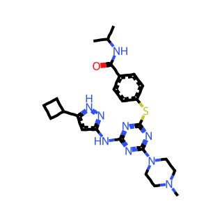 CC(C)NC(=O)c1ccc(Sc2nc(Nc3cc(C4CCC4)[nH]n3)nc(N3CCN(C)CC3)n2)cc1